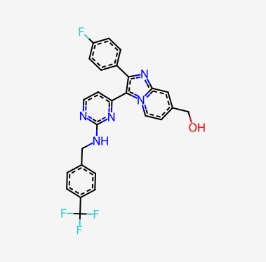 OCc1ccn2c(-c3ccnc(NCc4ccc(C(F)(F)F)cc4)n3)c(-c3ccc(F)cc3)nc2c1